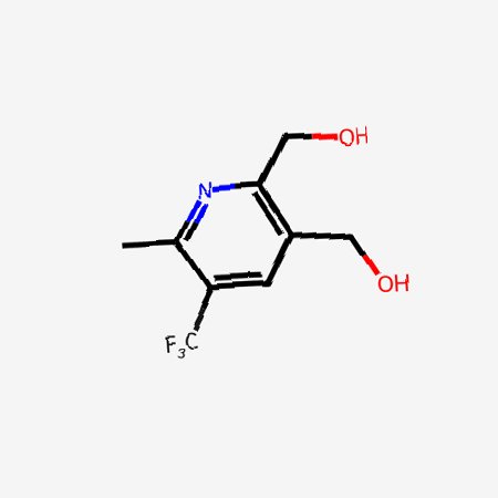 Cc1nc(CO)c(CO)cc1C(F)(F)F